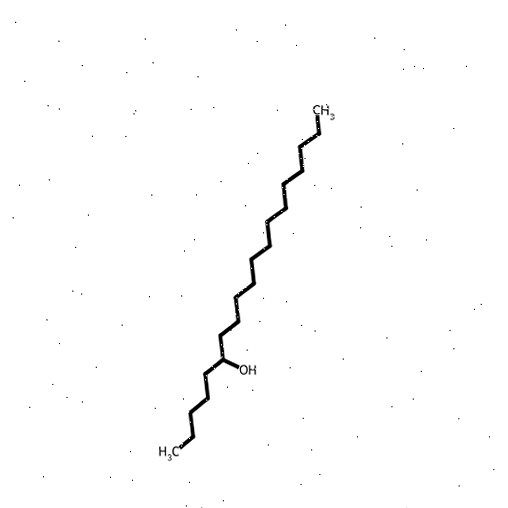 CCCCCCCCCCCCCC(O)CCCCC